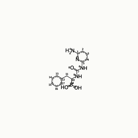 Nc1cccc(NC(=O)NC(Cc2ccccc2)B(O)O)n1